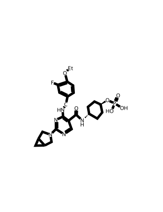 CCOc1ccc(CNc2nc(N3CC4CC4C3)ncc2C(=O)N[C@H]2CC[C@H](OP(=O)(O)O)CC2)cc1F